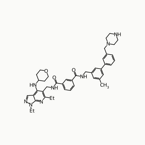 CCc1nc2c(cnn2CC)c(NC2CCOCC2)c1CNC(=O)c1cccc(C(=O)NCc2cc(C)cc(-c3cccc(CN4CCNCC4)c3)c2)c1